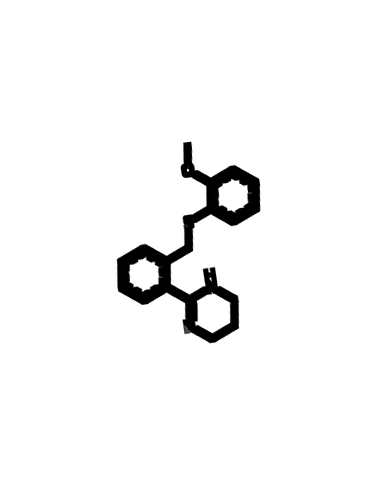 COc1ccccc1SCc1ccccc1C1=NCCCN1